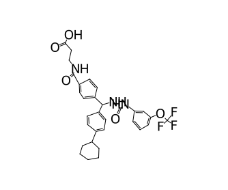 O=C(O)CCNC(=O)c1ccc(C(NC(=O)Nc2cccc(OC(F)(F)F)c2)c2ccc(C3CCCCC3)cc2)cc1